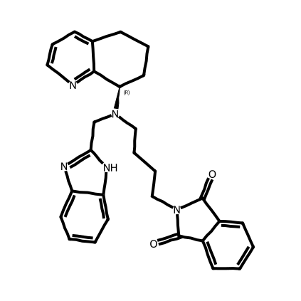 O=C1c2ccccc2C(=O)N1CCCCN(Cc1nc2ccccc2[nH]1)[C@@H]1CCCc2cccnc21